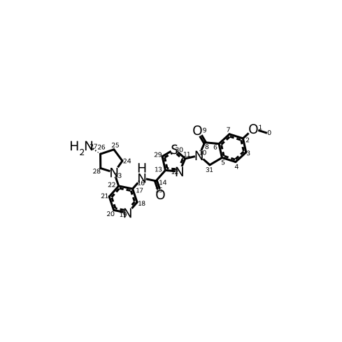 COc1ccc2c(c1)C(=O)N(c1nc(C(=O)Nc3cnccc3N3CC[C@@H](N)C3)cs1)C2